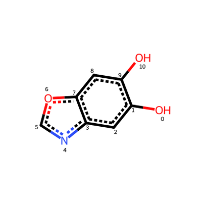 Oc1cc2ncoc2cc1O